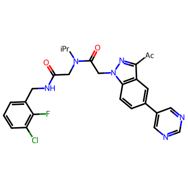 CC(=O)c1nn(CC(=O)N(CC(=O)NCc2cccc(Cl)c2F)C(C)C)c2ccc(-c3cncnc3)cc12